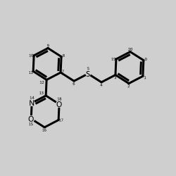 c1ccc(CSCc2ccccc2C2=NOCCO2)cc1